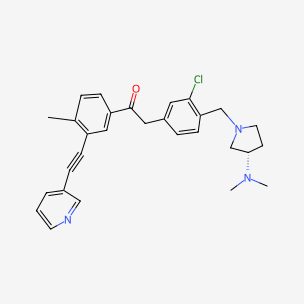 Cc1ccc(C(=O)Cc2ccc(CN3CC[C@H](N(C)C)C3)c(Cl)c2)cc1C#Cc1cccnc1